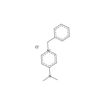 CN(C)c1cc[n+](Cc2ccccc2)cc1.[Cl-]